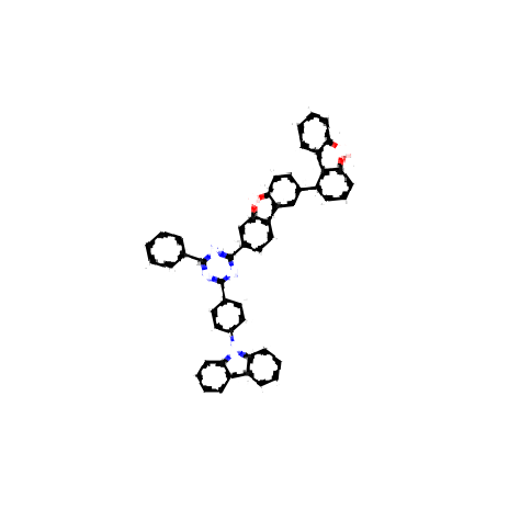 c1ccc(-c2nc(-c3ccc(-n4c5ccccc5c5ccccc54)cc3)nc(-c3ccc4c(c3)oc3ccc(-c5cccc6oc7ccccc7c56)cc34)n2)cc1